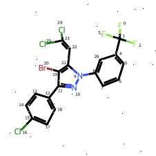 FC(F)(F)c1cccc(-n2nc(-c3ccc(Cl)cc3)c(Br)c2C=C(Cl)Cl)c1